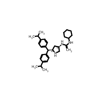 C=C(NC1CCCCC1)N[C@H]1CN[C@@H](C(c2ccc(C(C)C)cc2)c2ccc(C(C)C)cc2)C1